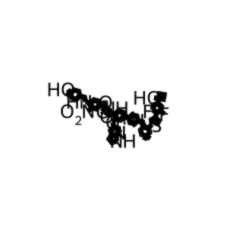 CC1(C)CCC(CN2CCN(c3ccc(C(=O)NS(=O)(=O)c4ccc(NCC5CCC(C)(O)CC5)c([N+](=O)[O-])c4)c(Oc4cnc5[nH]ccc5c4)c3)CC2)=C(c2cc(-c3c(F)cc(C4(O)CCC4)cc3F)cs2)C1